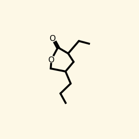 CCCC1COC(=O)C(CC)C1